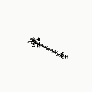 CC(C)C1CC(=O)N(CCNC(=O)CCCCCCCCCCCCCCCCC(=O)O)C1O